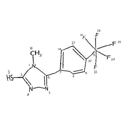 Cn1c(S)nnc1-c1ccc(S(F)(F)(F)(F)F)cc1